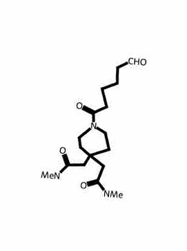 CNC(=O)CC1(CC(=O)NC)CCN(C(=O)CCCCC=O)CC1